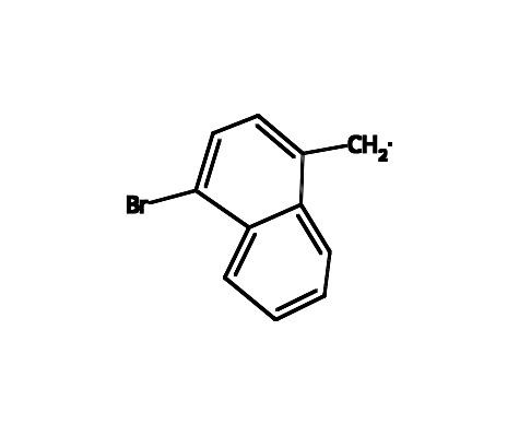 [CH2]c1ccc(Br)c2ccccc12